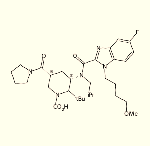 COCCCCn1c(C(=O)N(CC(C)C)[C@H]2C[C@@H](C(=O)N3CCCC3)CN(C(=O)O)C2C(C)(C)C)nc2cc(F)ccc21